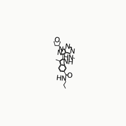 CCCNC(=O)c1ccc2c(C)c(-c3nn(C4CCOC4)c4ncnc(NC)c34)[nH]c2c1